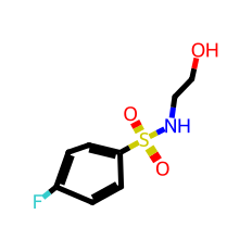 O=S(=O)(NCCO)c1ccc(F)cc1